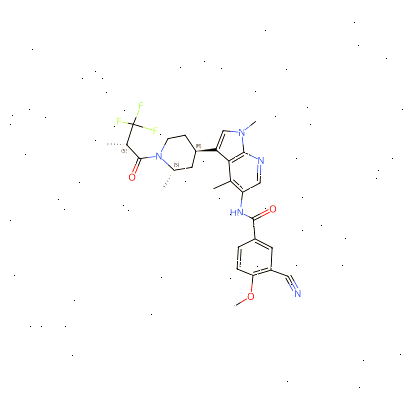 COc1ccc(C(=O)Nc2cnc3c(c([C@@H]4CCN(C(=O)[C@H](C)C(F)(F)F)[C@@H](C)C4)cn3C)c2C)cc1C#N